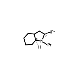 CC(C)[C@@H]1CC2CCCC[C@@H]2N1C(C)C